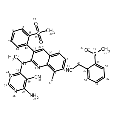 CN(c1nc2c(F)cccc2cc1-c1ccccc1S(C)(=O)=O)c1ncnc(N)c1C#N.C[S+]([O-])c1ccccc1CC#N